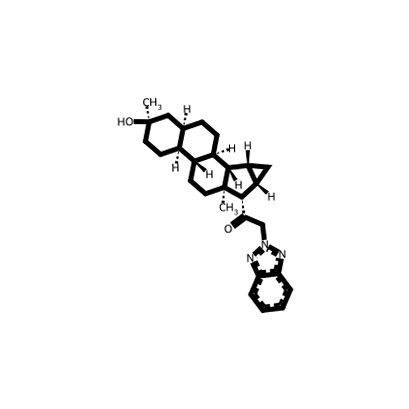 C[C@@]1(O)CC[C@H]2[C@H](CC[C@@H]3[C@@H]2CC[C@@]2(C)[C@H]3[C@@H]3C[C@@H]3[C@@H]2C(=O)Cn2nc3ccccc3n2)C1